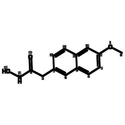 COc1ccc2cc(CC(=O)NO)ccc2c1